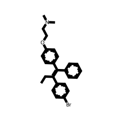 CCC(=C(c1ccccc1)c1ccc(OCCN(C)C)cc1)c1ccc(Br)cc1